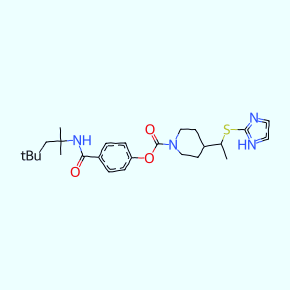 CC(Sc1ncc[nH]1)C1CCN(C(=O)Oc2ccc(C(=O)NC(C)(C)CC(C)(C)C)cc2)CC1